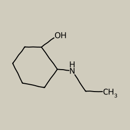 CCNC1CCCCC1O